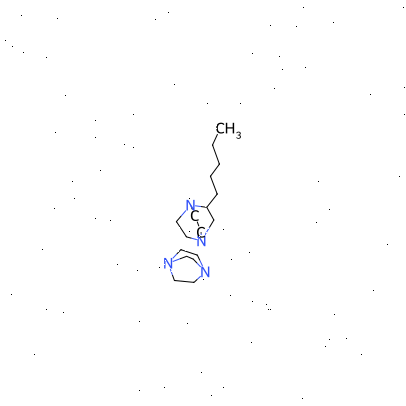 C1CN2CCN1CC2.CCCCCC1CN2CCN1CC2